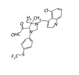 CC1(C)C(C(=O)C=O)N(c2ccc(SC(F)(F)F)cc2)CN1Cc1ccnc2cccc(Cl)c12